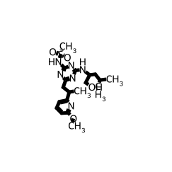 COc1cccc(C(C)Cc2nc(NC(CO)CC(C)C)nc(NS(C)(=O)=O)n2)n1